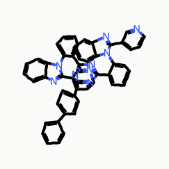 c1ccc(-c2ccc(-c3nc(-c4ccccc4-n4c(-c5cccnc5)nc5ccccc54)nc(-c4ccccc4-n4c(-c5cccnc5)nc5ccccc54)n3)cc2)cc1